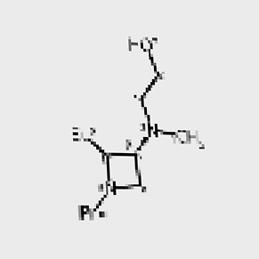 CCC1[C@@H](N(C)CCO)CN1C(C)C